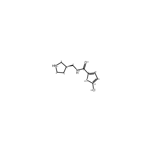 O=C(NC[C@H]1CCNC1)c1ccc(Cl)s1